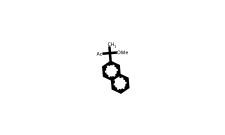 COC(C)(C(C)=O)c1ccc2ccccc2c1